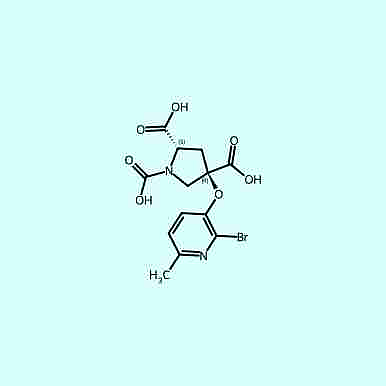 Cc1ccc(O[C@]2(C(=O)O)C[C@@H](C(=O)O)N(C(=O)O)C2)c(Br)n1